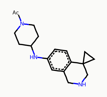 CC(=O)N1CCC(Nc2ccc3c(c2)CNCC32CC2)CC1